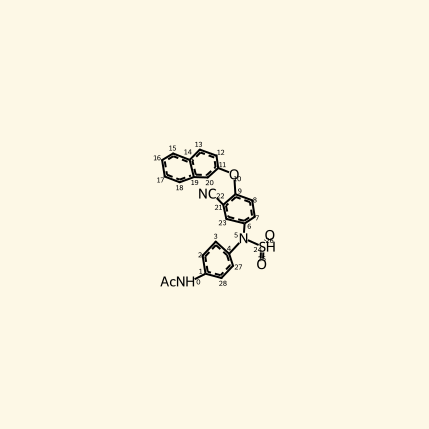 CC(=O)Nc1ccc(N(c2ccc(Oc3ccc4ccccc4c3)c(C#N)c2)[SH](=O)=O)cc1